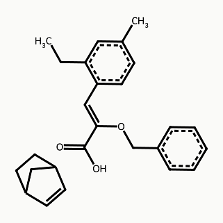 C1=CC2CCC1C2.CCc1cc(C)ccc1C=C(OCc1ccccc1)C(=O)O